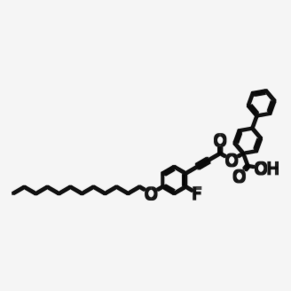 CCCCCCCCCCCCOc1ccc(C#CC(=O)OC2(C(=O)O)C=CC(c3ccccc3)C=C2)c(F)c1